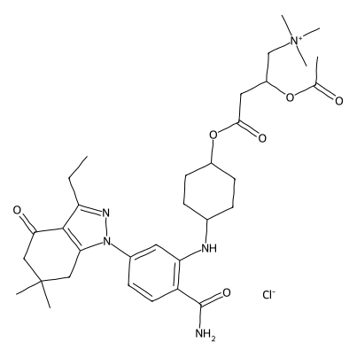 CCc1nn(-c2ccc(C(N)=O)c(NC3CCC(OC(=O)CC(C[N+](C)(C)C)OC(C)=O)CC3)c2)c2c1C(=O)CC(C)(C)C2.[Cl-]